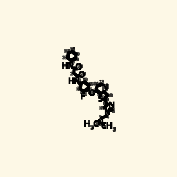 CN(C)CCn1cnc(-c2cc3nccc(Oc4ccc(NC(=O)CC(=O)Nc5ccccc5)cc4F)c3s2)c1